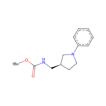 CC(C)(C)OC(=O)NC[C@@H]1CCN(c2ccccc2)C1